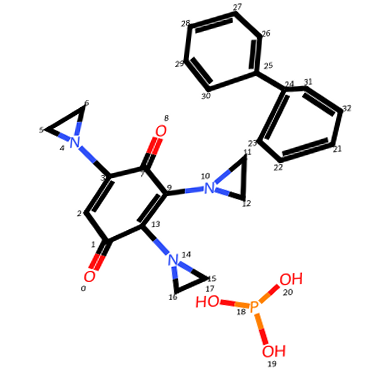 O=C1C=C(N2CC2)C(=O)C(N2CC2)=C1N1CC1.OP(O)O.c1ccc(-c2ccccc2)cc1